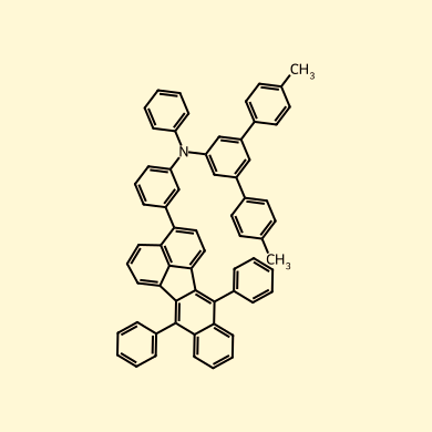 Cc1ccc(-c2cc(-c3ccc(C)cc3)cc(N(c3ccccc3)c3cccc(-c4ccc5c6c(cccc46)-c4c-5c(-c5ccccc5)c5ccccc5c4-c4ccccc4)c3)c2)cc1